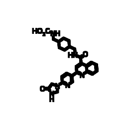 O=C(O)NCC1CCC(CNC(=O)c2cc(-c3ccc(N4CNC(=O)C4)nc3)nc3ccccc23)CC1